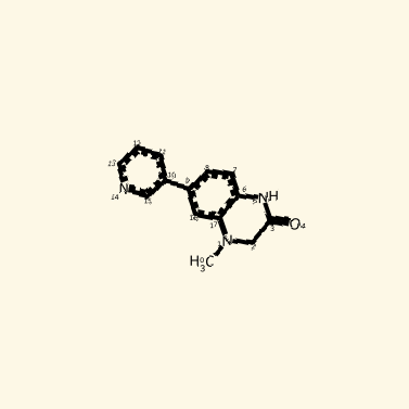 CN1CC(=O)Nc2ccc(-c3cccnc3)cc21